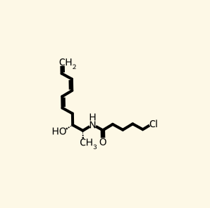 C=C/C=C\C=C/C[C@@H](O)[C@@H](C)NC(=O)CCCCCl